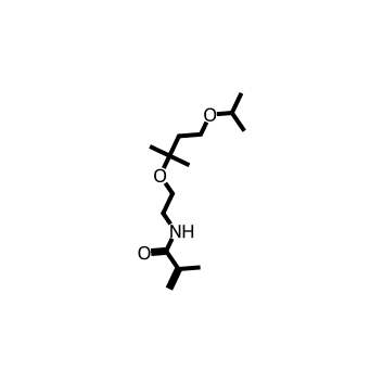 C=C(C)C(=O)NCCOC(C)(C)CCOC(C)C